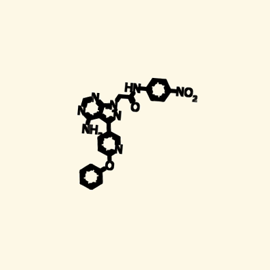 Nc1ncnc2c1c(-c1ccc(Oc3ccccc3)nc1)nn2CC(=O)Nc1ccc([N+](=O)[O-])cc1